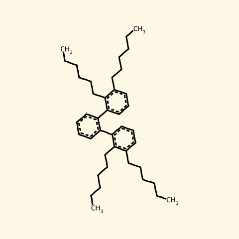 CCCCCCc1cccc(-c2[c]cccc2-c2cccc(CCCCCC)c2CCCCCC)c1CCCCCC